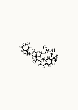 O=C(O)CCC[C@]1(C(=O)N2CCc3ccc(C(F)(F)F)cc3C2)CC[C@@H](NC2CCOCC2)C1